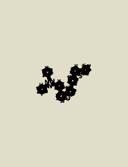 c1ccc(-c2nc(-c3ccccc3)nc(-c3cccc(-c4cccc5oc6ccc(-c7ccc(-c8cccc9c8sc8ccccc89)cc7)cc6c45)c3)n2)cc1